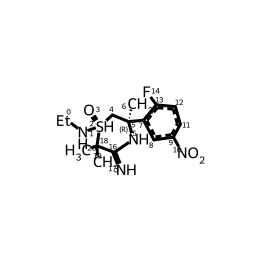 CCN[SH]1(=O)C[C@@](C)(c2cc([N+](=O)[O-])ccc2F)NC(=N)C1(C)C